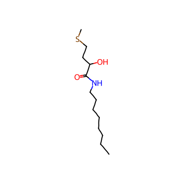 CCCCCCCCNC(=O)C(O)CCSC